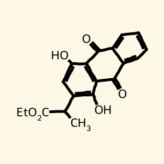 CCOC(=O)C(C)c1cc(O)c2c(c1O)C(=O)c1ccccc1C2=O